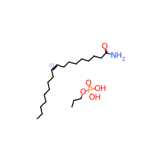 CCCCCCCC/C=C\CCCCCCCC(N)=O.CCCOP(=O)(O)O